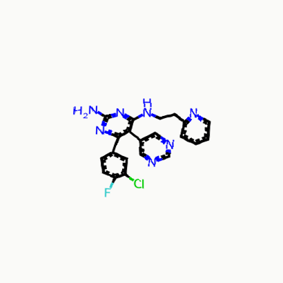 Nc1nc(NCCc2ccccn2)c(-c2cncnc2)c(-c2ccc(F)c(Cl)c2)n1